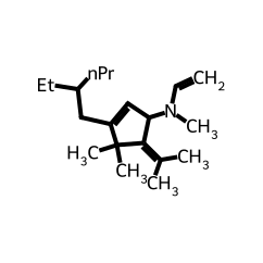 C=CN(C)C1C=C(CC(CC)CCC)C(C)(C)C1=C(C)C